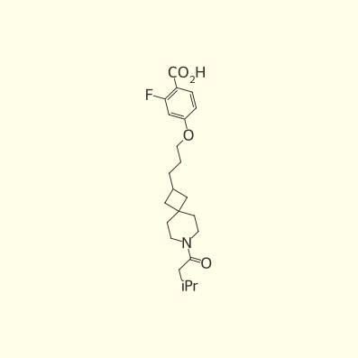 CC(C)CC(=O)N1CCC2(CC1)CC(CCCOc1ccc(C(=O)O)c(F)c1)C2